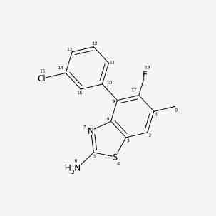 Cc1cc2sc(N)nc2c(-c2cccc(Cl)c2)c1F